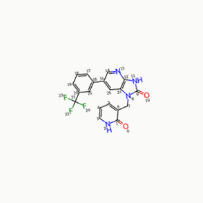 O=c1[nH]cccc1Cn1c(=O)[nH]c2ncc(-c3cccc(C(F)(F)F)c3)cc21